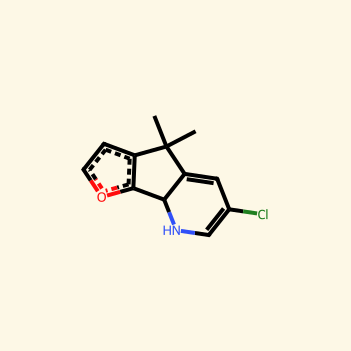 CC1(C)C2=CC(Cl)=CNC2c2occc21